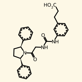 O=C(O)CCc1cccc(NC(=O)NCC(=O)N2[C@@H](c3ccccc3)CC[C@H]2c2ccccc2)c1